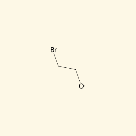 [O]CCBr